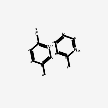 Cc1ccc(F)nc1.Cc1ccccn1